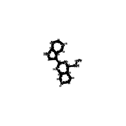 CCCNc1nc(-c2c[nH]c3ncncc23)nc2cnccc12